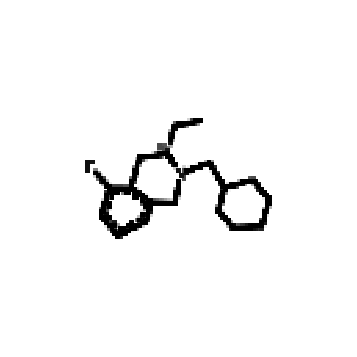 CC[C@@H]1Cc2c(F)cccc2CN1CC1CCCCC1